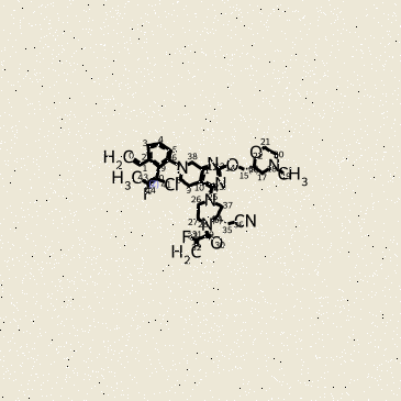 C=Cc1cccc(N2CCc3c(nc(OC[C@H]4CN(C)CCO4)nc3N3CCN(C(=O)C(=C)F)[C@@H](CC#N)C3)C2)c1/C(Cl)=C(\C)F